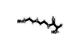 COCCOCCOC(=O)C(C)O